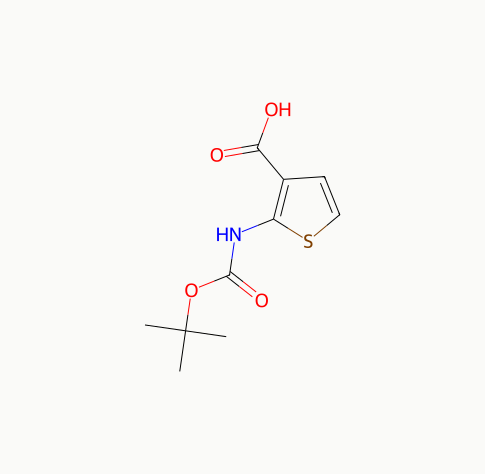 CC(C)(C)OC(=O)Nc1sccc1C(=O)O